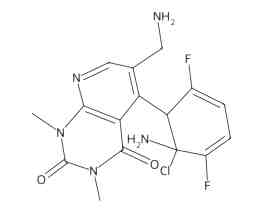 Cn1c(=O)c2c(C3C(F)=CC=C(F)C3(N)Cl)c(CN)cnc2n(C)c1=O